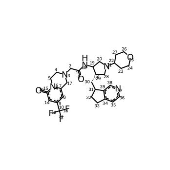 O=C(CN1CCn2c(cc(C(F)(F)F)cc2=O)C1)NC1CN(C2CCOCC2)C[C@@H]1CC1CCc2ccncc21